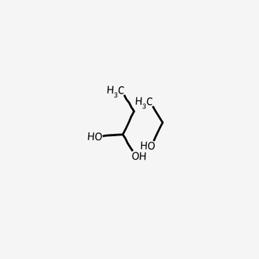 CCC(O)O.CCO